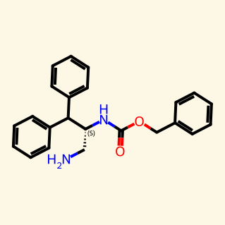 NC[C@@H](NC(=O)OCc1ccccc1)C(c1ccccc1)c1ccccc1